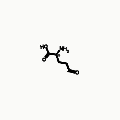 N[C@@H](CC[C]=O)C(=O)O